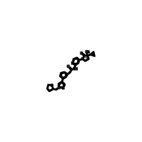 N#C[C@@]1(C2CC2)CCN(c2ccnc(NC(=O)Cc3cccc(-c4cnn(CC5CCCO5)c4)c3)c2)C1=O